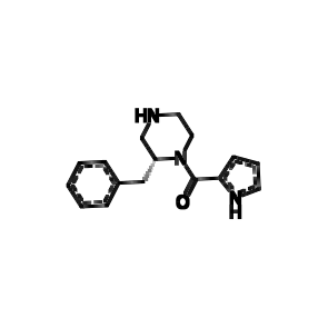 O=C(c1ccc[nH]1)N1CCNC[C@H]1Cc1ccccc1